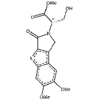 COC(=O)[C@H](CO)N1Cc2c(sc3cc(OC)c(OC)cc23)C1=O